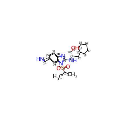 CC(C)S(=O)(=O)n1c(N[C@H](CO)CC2CCCCC2)nc2ccc(C=N)cc21